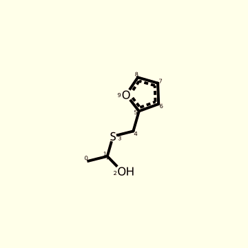 C[C](O)SCc1ccco1